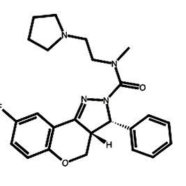 CN(CCN1CCCC1)C(=O)N1N=C2c3cc(F)ccc3OC[C@H]2[C@H]1c1ccccc1